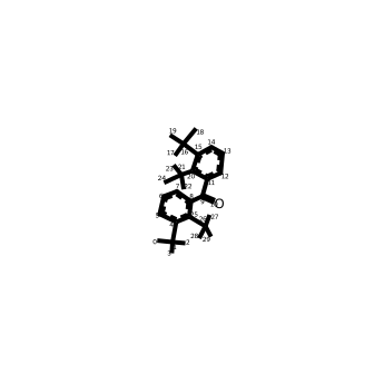 CC(C)(C)c1cccc(C(=O)c2cccc(C(C)(C)C)c2C(C)(C)C)c1C(C)(C)C